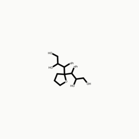 CCCC(C(O)CO)C1(C(CCC)C(O)CO)CCCO1